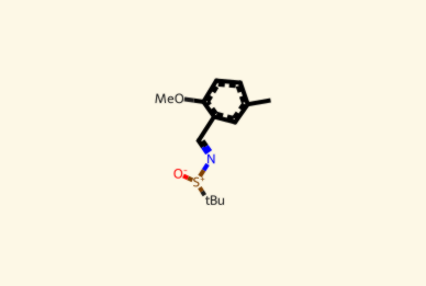 COc1ccc(C)cc1C=N[S+]([O-])C(C)(C)C